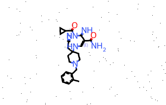 Cc1ccccc1CN1CCC(CC#N)(N/C=C(\C(=N)NC(=O)C2CC2)C(N)=O)CC1